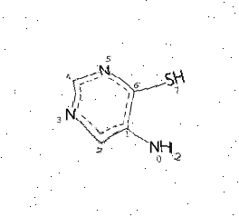 Nc1cncnc1S